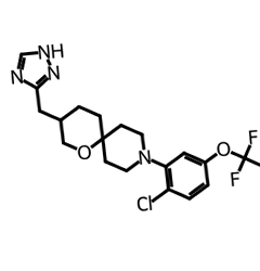 FC(F)(F)Oc1ccc(Cl)c(N2CCC3(CCC(Cc4nc[nH]n4)CO3)CC2)c1